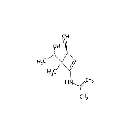 C#C[C@H]1C=C(NC(=C)C)[C@@]1(C)C(C)O